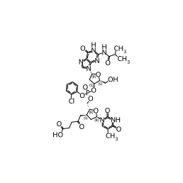 Cc1cn([C@H]2C[C@@H](CC(=O)CCC(=O)O)[C@H](COP(=O)(Oc3ccccc3Cl)O[C@H]3C[C@H](n4cnc5c(=O)[nH]c(NC(=O)C(C)C)nc54)O[C@H]3CO)O2)c(=O)[nH]c1=O